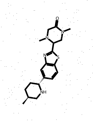 C[C@H]1CC[C@H](c2ccc3sc(C4CN(C)C(=O)CN4C)nc3c2)NC1